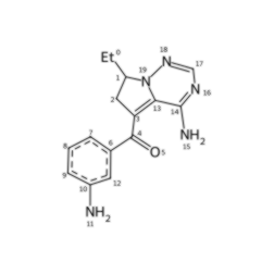 CCC1CC(C(=O)c2cccc(N)c2)=C2C(N)=NC=NN21